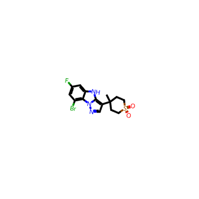 CC1(c2cnn3c2[nH]c2cc(F)cc(Br)c23)CCS(=O)(=O)CC1